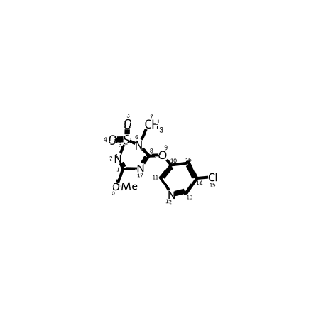 COC1=NS(=O)(=O)N(C)C(Oc2cncc(Cl)c2)=N1